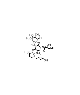 C[C@@H]1C(O)[C@@H](OC2C(O)C(O[C@H]3O[C@H](CNCCO)CCC3N)[C@@H](N)C[C@H]2NC(=O)[C@@H](O)CN)OCC1(C)O